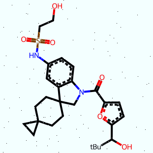 CC(C)(C)C(O)c1ccc(C(=O)N2CC3(CCC4(CC4)CC3)c3cc(NS(=O)(=O)CCO)ccc32)o1